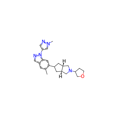 Cc1cc2cnn(-c3cnn(C)c3)c2cc1C1C[C@@H]2CN(C3CCOC3)C[C@@H]2C1